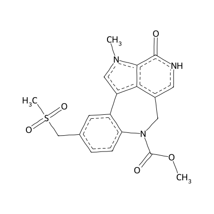 COC(=O)N1Cc2c[nH]c(=O)c3c2c(cn3C)-c2cc(CS(C)(=O)=O)ccc21